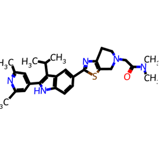 Cc1cc(-c2[nH]c3ccc(-c4nc5c(s4)CN(CC(=O)N(C)C)CC5)cc3c2C(C)C)cc(C)n1